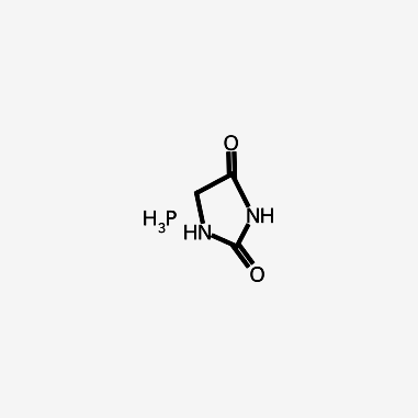 O=C1CNC(=O)N1.P